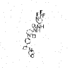 O=C(Nc1ccc(C(F)(F)F)nc1)NC1CCCN(c2ccc(C3(CN4CCOCC4)CCC3)cc2)C1=O